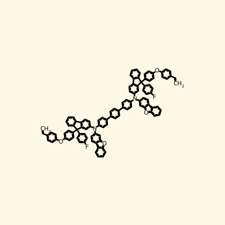 C=Cc1ccc(Oc2ccc(C3(c4ccc(F)cc4)c4ccccc4-c4ccc(N(c5ccc(-c6ccc(-c7ccc(N(c8ccc9c(c8)C(c8ccc(F)cc8)(c8ccc(Oc%10ccc(C=C)cc%10)cc8)c8ccccc8-9)c8ccc9c(c8)oc8ccccc89)cc7)cc6)cc5)c5ccc6c(c5)oc5ccccc56)cc43)cc2)cc1